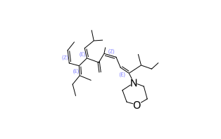 C=C(/C(C)=C\C=C(/C(C)CC)N1CCOCC1)C(=C\C(C)C)/C(/C=C\C)=C(\C)CC